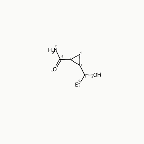 CCC(O)C1CC1C(N)=O